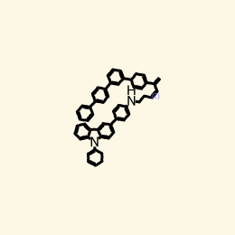 C=C(/C=C\CCNc1ccc(-c2ccc3c(c2)c2ccccc2n3C2=CC=CCC2)cc1)C1=CCC(c2cccc(-c3ccc(-c4ccccc4)cc3)c2)C=C1